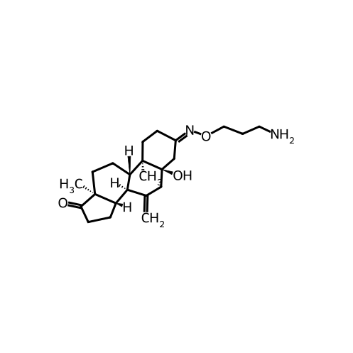 C=C1C[C@@]2(O)C/C(=N\OCCCN)CC[C@]2(C)[C@H]2CC[C@]3(C)C(=O)CC[C@H]3[C@H]12